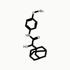 CCCCOc1ccc(NC(=O)C(O)C23CC4CC(CC(C4)C2)C3)cc1